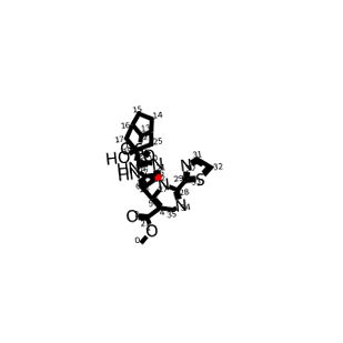 COC(=O)C1=C2CC(NS(=O)(=O)C3C4CCC3CC(O)(c3ncc[nH]3)C4)CN2C(c2nccs2)=NC1